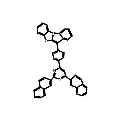 c1ccc2cc(-c3cc(-c4ccc(-c5c6ccccc6n6c5oc5ccccc56)cc4)nc(-c4ccc5ccccc5c4)n3)ccc2c1